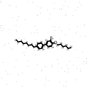 CCCCCCCCc1ccc(-c2ccc(OCCCCCC)c(F)c2)cc1